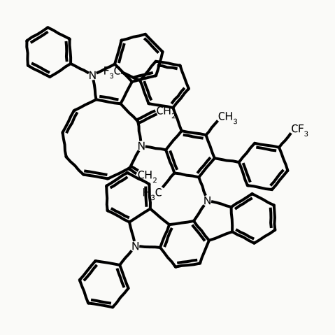 C=C1/C=C\C/C=C\c2c(c3ccccc3n2-c2ccccc2)C(=C)N1c1c(C)c(-n2c3ccccc3c3ccc4c(c5ccccc5n4-c4ccccc4)c32)c(-c2cccc(C(F)(F)F)c2)c(C)c1-c1cccc(C(F)(F)F)c1